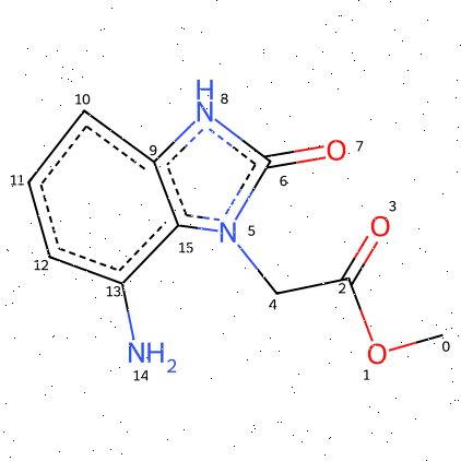 COC(=O)Cn1c(=O)[nH]c2cccc(N)c21